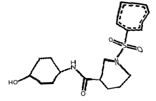 O=C(NC1CCC(O)CC1)[C@@H]1CCCN(S(=O)(=O)c2ccccc2)C1